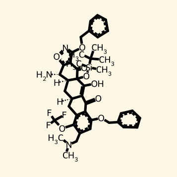 CN(C)Cc1cc(OCc2ccccc2)c2c(c1OC(F)(F)F)C[C@H]1C[C@H]3[C@H](N)c4onc(OCc5ccccc5)c4C(=O)C3(O[Si](C)(C)C(C)(C)C)C(O)=C1C2=O